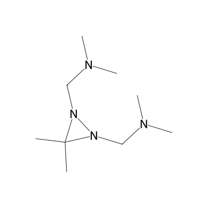 CN(C)CN1N(CN(C)C)C1(C)C